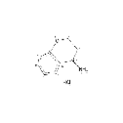 Cl.NN1CCOc2ccccc21